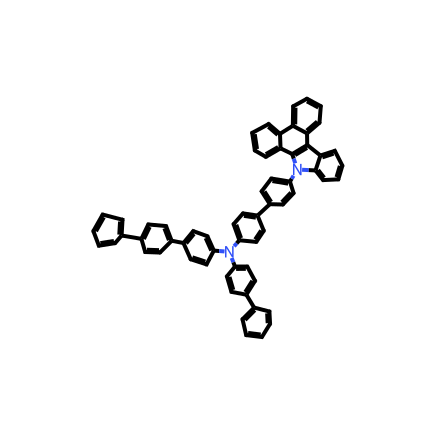 c1ccc(-c2ccc(-c3ccc(N(c4ccc(-c5ccccc5)cc4)c4ccc(-c5ccc(-n6c7ccccc7c7c8ccccc8c8ccccc8c76)cc5)cc4)cc3)cc2)cc1